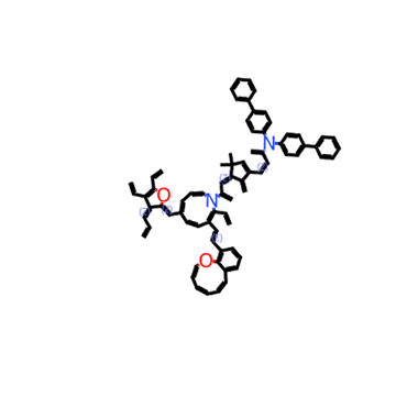 C=C/C=c1/c(C=C)c(C=C)o/c1=C\c1cccn(C(=C)/C=C2\C(=C)C(/C=C\C(=C)N(c3ccc(-c4ccccc4)cc3)c3ccc(-c4ccccc4)cc3)=CC2(C)C)c(C=C)c(/C=C/c2cccc3ccccccoc23)cc1